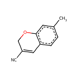 Cc1ccc2c(c1)OCC(C#N)=C2